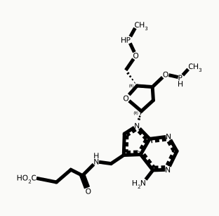 CPOC[C@H]1O[C@@H](n2cc(CNC(=O)CCC(=O)O)c3c(N)ncnc32)CC1OPC